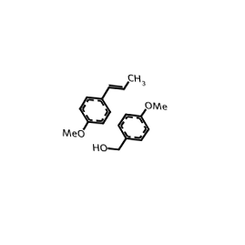 C/C=C/c1ccc(OC)cc1.COc1ccc(CO)cc1